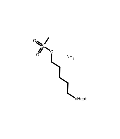 CCCCCCCCCCCCOS(C)(=O)=O.N